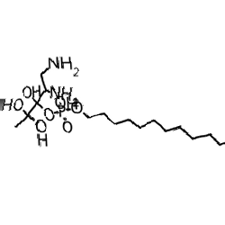 CCCCCCCCCCCCOP(=O)(O)OC(O)(C(N)CN)C(C)(O)O